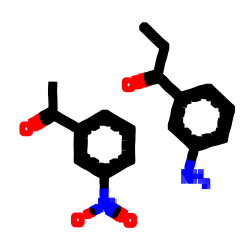 CC(=O)c1cccc([N+](=O)[O-])c1.CCC(=O)c1cccc(N)c1